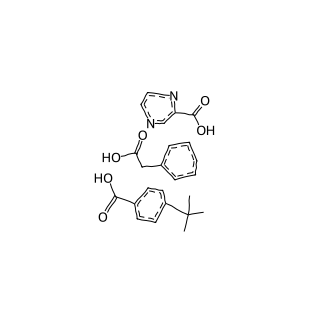 CC(C)(C)c1ccc(C(=O)O)cc1.O=C(O)Cc1ccccc1.O=C(O)c1cnccn1